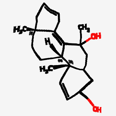 CC1(O)CC2CC(O)C=C[C@]2(C)[C@@H]2CC[C@]3(C)CC=CC3=C21